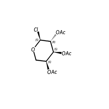 CC(=O)O[C@@H]1[C@@H](OC(C)=O)[C@@H](OC(C)=O)CO[C@H]1Cl